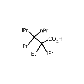 CCCC(C(C)C)(C(C)C)C(CC)(C(=O)O)C(C)C